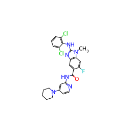 Cn1c(Nc2c(Cl)cccc2Cl)nc2cc(C(=O)Nc3cc(N4CCCCC4)ccn3)c(F)cc21